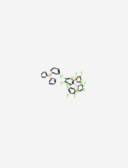 Fc1cc(F)c([B-](c2c(F)cc(F)c(F)c2F)(c2c(F)cc(F)c(F)c2F)c2c(F)cc(F)c(F)c2F)c(F)c1F.c1ccc(P(c2ccccc2)c2ccccc2)cc1